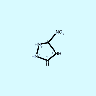 O=[N+]([O-])C1NNNN1